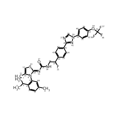 Cc1ccc(C(C)C)c(-n2c(C)cs/c2=N\C(=O)NCC(F)c2ccc(-c3ncn(-c4ccc(OC(F)(F)F)cc4)n3)cc2)c1